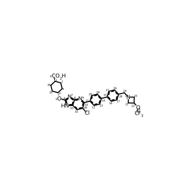 O=C(O)[C@H]1CC[C@H](Oc2nc3nc(-c4ccc(-c5ccc(CN6CC(OC(F)(F)F)C6)cc5)cc4)c(Cl)cc3[nH]2)CC1